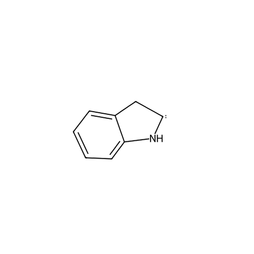 [C]1Cc2ccccc2N1